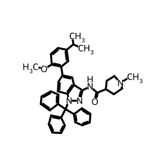 COc1ccc(C(C)C)cc1-c1ccc2c(c1)c(NC(=O)C1CCN(C)CC1)nn2C(c1ccccc1)(c1ccccc1)c1ccccc1